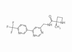 C[C@@]1(C(=O)NCc2cc(-c3ccc(C(F)(F)F)nc3)ncn2)CCN1